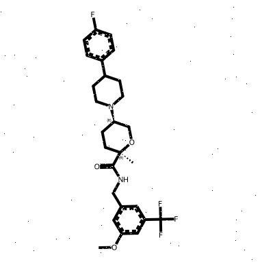 COc1cc(CNC(=O)[C@@]2(C)CC[C@@H](N3CCC(c4ccc(F)cc4)CC3)CO2)cc(C(F)(F)F)c1